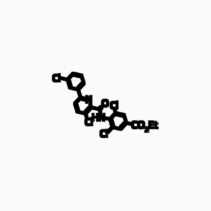 CCOC(=O)c1cc(Cl)c(NC(=O)c2nc(-c3cccc(Cl)c3)ccc2Cl)c(Cl)c1